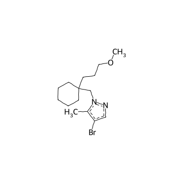 COCCCC1(Cn2ncc(Br)c2C)CCCCC1